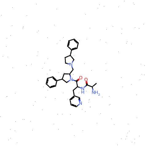 CC(N)C(=O)NC(Cc1cccnc1)C(=O)N1CC(c2ccccc2)CC1CN1CCC(c2ccccc2)C1